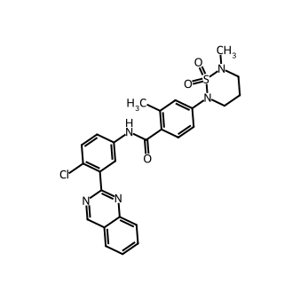 Cc1cc(N2CCCN(C)S2(=O)=O)ccc1C(=O)Nc1ccc(Cl)c(-c2ncc3ccccc3n2)c1